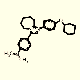 CN(C)c1ccc(-c2cn(-c3ccc(OC4CCCCC4)cc3)c3[n+]2CCCCC3)cc1